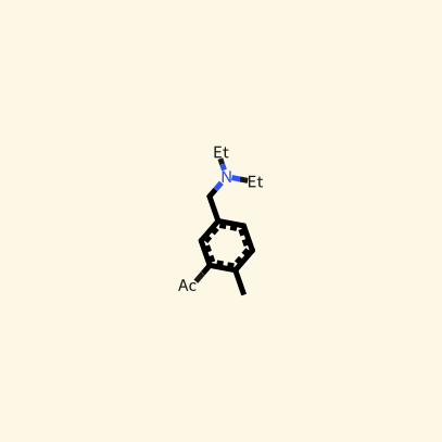 CCN(CC)Cc1ccc(C)c(C(C)=O)c1